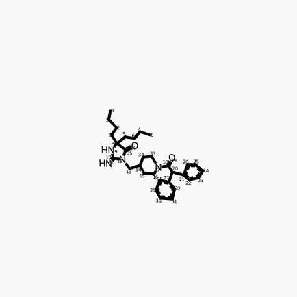 CCCCC1(CCCC)NC(=N)N(CC2CCN(C(=O)C(c3ccccc3)c3ccccc3)CC2)C1=O